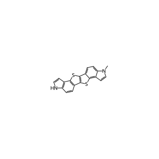 Cn1ccc2c3sc4c5ccc6[nH]ccc6c5sc4c3ccc21